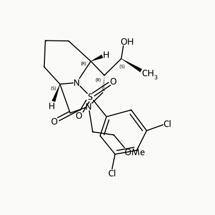 COCCN1C[C@@H]([C@H](C)O)[C@H]2CCC[C@@H](C1=O)N2S(=O)(=O)c1cc(Cl)cc(Cl)c1